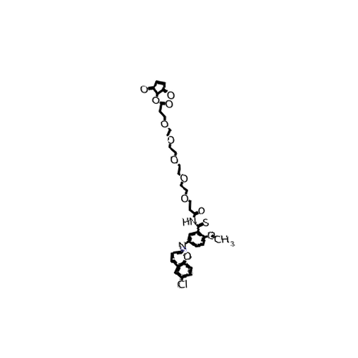 COc1ccc(/N=c2/ccc3cc(Cl)ccc3o2)cc1C(=S)NC(=O)CCOCCOCCOCCOCCOCCC(=O)OC1C(=O)C=CC1=O